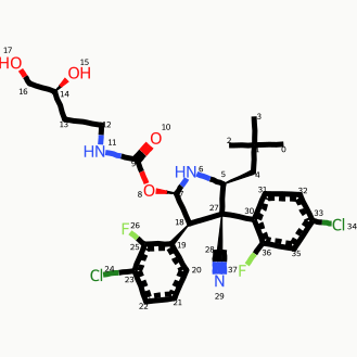 CC(C)(C)C[C@@H]1N[C@H](OC(=O)NCC[C@H](O)CO)[C@H](c2cccc(Cl)c2F)[C@@]1(C#N)c1ccc(Cl)cc1F